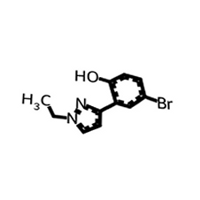 CCn1ccc(-c2cc(Br)ccc2O)n1